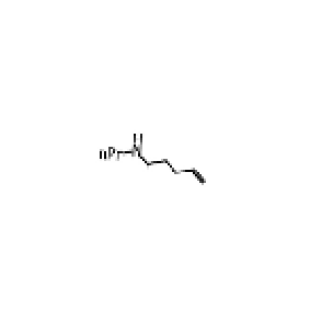 C=CCC[CH]NCCC